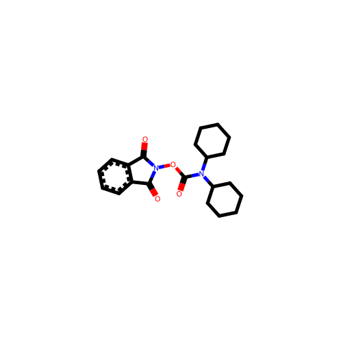 O=C1c2ccccc2C(=O)N1OC(=O)N(C1CCCCC1)C1CCCCC1